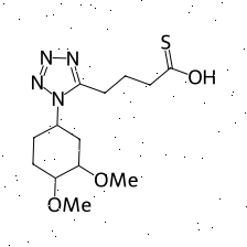 COC1CCC(n2nnnc2CCCC(O)=S)CC1OC